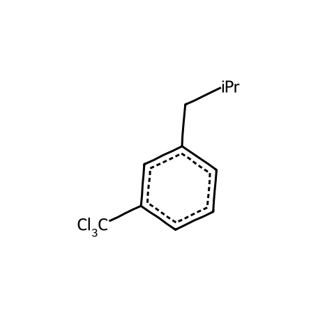 [CH2]C(C)Cc1cccc(C(Cl)(Cl)Cl)c1